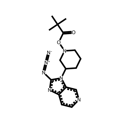 CC(C)(C)C(=O)ON1CCCC(n2c(N=[N+]=[N-])nc3ccncc32)C1